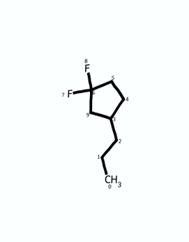 CCCC1CCC(F)(F)C1